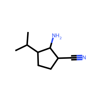 CC(C)C1CCC(C#N)C1N